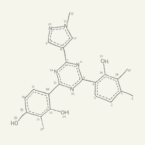 Cc1ccc(-c2nc(-c3cnn(C)c3)nc(-c3ccc(O)c(C)c3O)n2)c(O)c1C